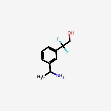 CC(N)c1cccc(C(F)(F)CO)c1